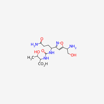 CC(O)C(NC(=O)NC(CCC(N)=O)c1cc(C(N)CO)on1)C(=O)O